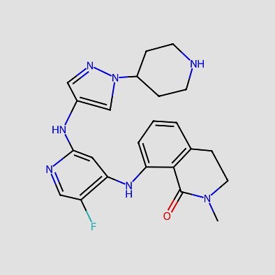 CN1CCc2cccc(Nc3cc(Nc4cnn(C5CCNCC5)c4)ncc3F)c2C1=O